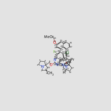 C=C1CN2CCCC2(COc2nc(N3C[C@H]4CC[C@@H](C3)N4C(=O)O)c3cc(Cl)c(-c4cc(OCOC)cc5cccc(C#C[Si](C(C)C)(C(C)C)C(C)C)c45)c(F)c3n2)C1